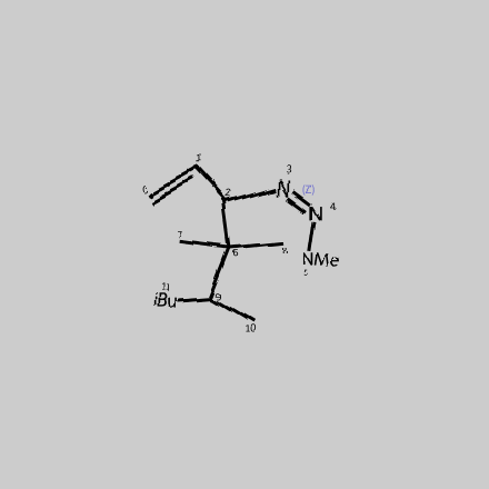 C=CC(/N=N\NC)C(C)(C)C(C)C(C)CC